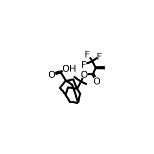 C=C(C(=O)OC(C)(C)C12CC3CC(CC(C(=O)O)(C3)C1)C2)C(F)(F)F